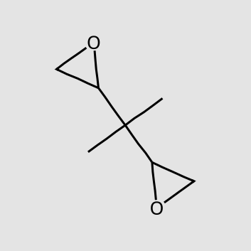 CC(C)(C1CO1)C1CO1